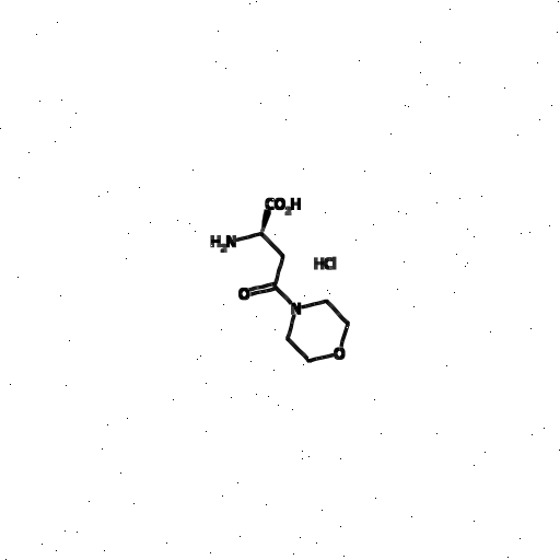 Cl.N[C@H](CC(=O)N1CCOCC1)C(=O)O